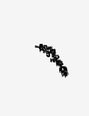 Cc1cc(Cn2c(=O)c3c(ncn3CC(=O)Nc3csc(-c4cnc(C(F)(F)F)nc4)n3)n(C)c2=O)no1